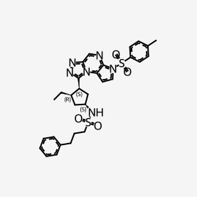 CC[C@@H]1C[C@H](NS(=O)(=O)CCCc2ccccc2)C[C@@H]1c1nnc2cnc3c(ccn3S(=O)(=O)c3ccc(C)cc3)n12